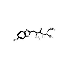 CC[C@H](C)[C@@H](CN)NC(=O)[C@@H](N)Cc1nc2ccc(C(C)C)cc2s1